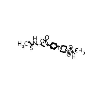 CCC(=S)NC[C@H]1CN(c2ccc(N3CCN(S(=O)(=O)NC)CC3)cc2)C(=O)O1